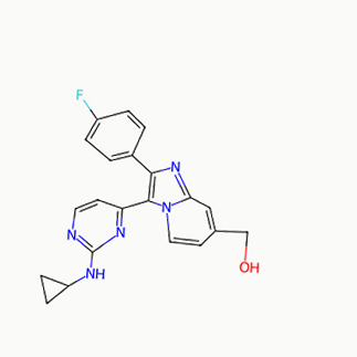 OCc1ccn2c(-c3ccnc(NC4CC4)n3)c(-c3ccc(F)cc3)nc2c1